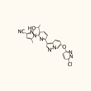 Cc1cc(C#N)nn1-c1nc(-c2cnn3cc(Oc4ccc(Cl)nn4)ccc23)ccc1C(C)O